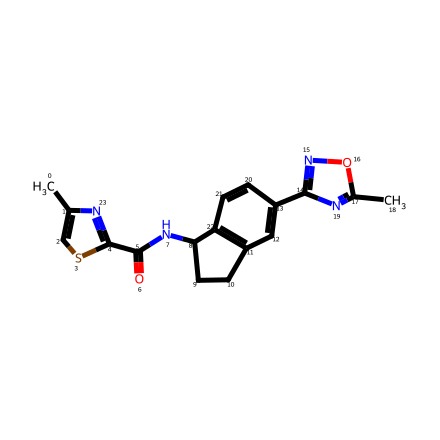 Cc1csc(C(=O)NC2CCc3cc(-c4noc(C)n4)ccc32)n1